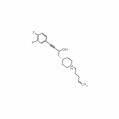 C=CCCC[Si@H]1CC[C@H](CC(O)C#Cc2ccc(F)c(F)c2)CC1